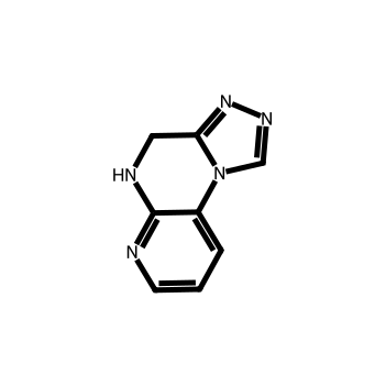 c1cnc2c(c1)-n1cnnc1CN2